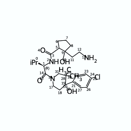 CC(C)[C@@H](NC(=O)C1CCCC1(O)CCN)C(=O)N1CC[C@](O)(c2ccc(Cl)cc2)C(C)(C)C1